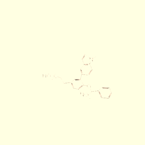 CC(Oc1c(-c2ccc3c(ccn3C)c2)cc(CCC(=O)O)cc1[N+](=O)[O-])c1ccccc1